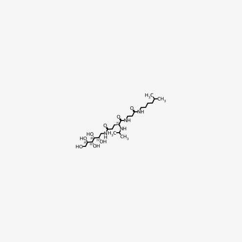 CC(C)CCCCNC(=O)CCNC(=O)[C@H](CCC(=O)NC[C@H](O)[C@@H](O)[C@H](O)[C@H](O)CO)NC(C)C